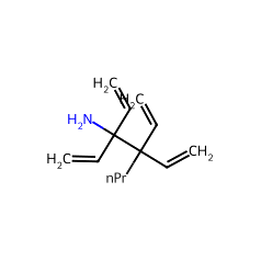 C=CC(N)(C=C)C(C=C)(C=C)CCC